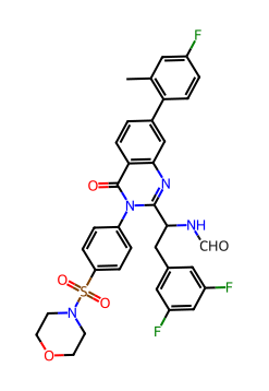 Cc1cc(F)ccc1-c1ccc2c(=O)n(-c3ccc(S(=O)(=O)N4CCOCC4)cc3)c(C(Cc3cc(F)cc(F)c3)NC=O)nc2c1